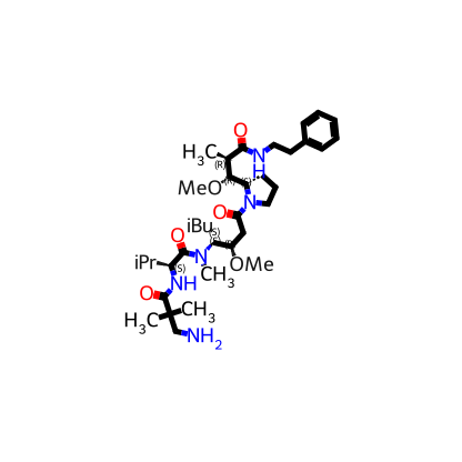 CC[C@H](C)[C@@H]([C@@H](CC(=O)N1CCC[C@H]1[C@H](OC)[C@@H](C)C(=O)NCCc1ccccc1)OC)N(C)C(=O)[C@@H](NC(=O)C(C)(C)CN)C(C)C